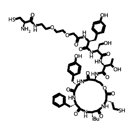 CCC(C)[C@@H]1NC(=O)[C@H](Cc2ccccc2)NC(=O)[C@H](Cc2ccc(O)cc2)NC(=O)[C@@H](NC(=O)[C@@H](NC(=O)[C@H](CO)NC(=O)[C@H](Cc2ccc(O)cc2)NC(=O)COCCOCCNC(=O)[C@@H](N)CS)C(C)O)COC(=O)[C@H](CCS)NC1=O